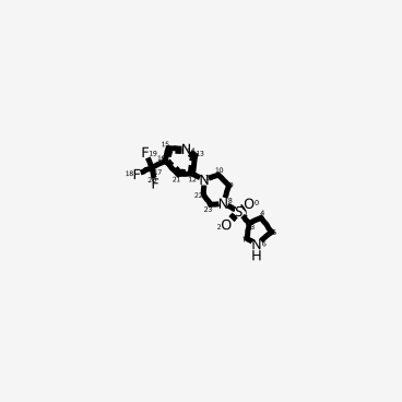 O=S(=O)(C1CCNC1)N1CCN(c2cncc(C(F)(F)F)c2)CC1